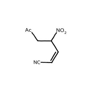 CC(=O)CC(/C=C\C#N)[N+](=O)[O-]